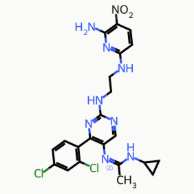 C/C(=N/c1cnc(NCCNc2ccc([N+](=O)[O-])c(N)n2)nc1-c1ccc(Cl)cc1Cl)NC1CC1